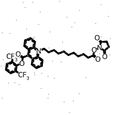 O=C(CCCCCCCCCC[n+]1c2ccccc2c(C(=O)Oc2c(C(F)(F)F)cccc2C(F)(F)F)c2ccccc21)ON1C(=O)CCC1=O